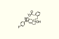 COC(=O)Cc1ccccc1CC[C@]1(O)CCC2=Cc3c(cnn3-c3ccc(F)cc3)C[C@@]21C